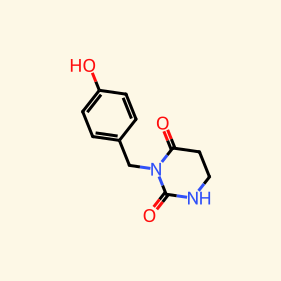 O=C1CCNC(=O)N1Cc1ccc(O)cc1